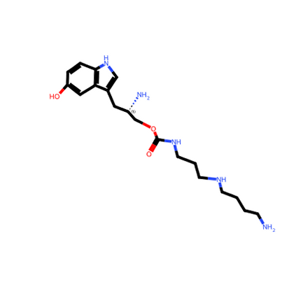 NCCCCNCCCNC(=O)OC[C@@H](N)Cc1c[nH]c2ccc(O)cc12